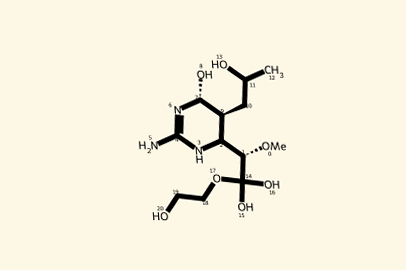 CO[C@@H](C1NC(N)=N[C@H](O)[C@H]1CC(C)O)C(O)(O)OCCO